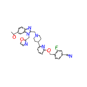 CC(=O)c1ccc2nc(CN3CCC(c4cccc(OCc5ccc(C#N)cc5F)n4)CC3)n(Cc3ncco3)c2c1